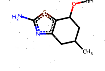 CCCOC1CC(C)Cc2nc(N)sc21